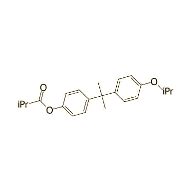 CC(C)Oc1ccc(C(C)(C)c2ccc(OC(=O)C(C)C)cc2)cc1